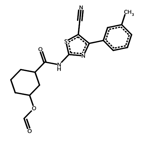 Cc1cccc(-c2nc(NC(=O)C3CCCC(OC=O)C3)sc2C#N)c1